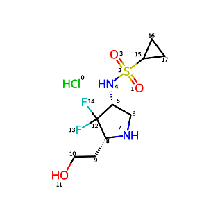 Cl.O=S(=O)(N[C@@H]1CN[C@H](CCO)C1(F)F)C1CC1